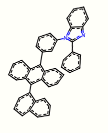 c1ccc(-c2nc3ccccc3n2-c2cccc(-c3c4ccccc4c(-c4cccc5ccccc45)c4ccccc34)c2)cc1